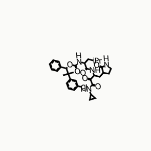 CC(C)CC(NC(=O)OC(c1ccccc1)C(C)(C)c1cccc(Cl)c1)C(=O)NC(CC1CCNC1=O)C(=O)C(=O)NC1CC1